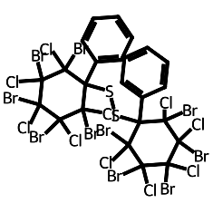 ClC1(Br)C(Cl)(Br)C(Cl)(Br)C(SSC2(c3ccccc3)C(Cl)(Br)C(Cl)(Br)C(Cl)(Br)C(Cl)(Br)C2(Cl)Br)(c2ccccc2)C(Cl)(Br)C1(Cl)Br